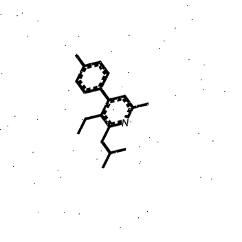 C[CH]c1c(-c2ccc(C)cc2)cc(C)nc1CC(C)C